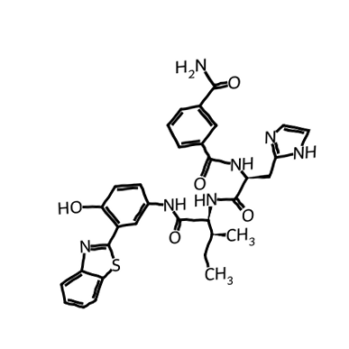 CC[C@H](C)[C@H](NC(=O)[C@H](Cc1ncc[nH]1)NC(=O)c1cccc(C(N)=O)c1)C(=O)Nc1ccc(O)c(-c2nc3ccccc3s2)c1